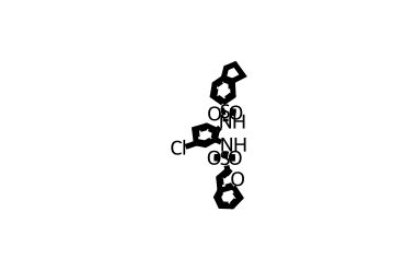 O=S(=O)(Nc1ccc(Cl)cc1NS(=O)(=O)c1cc2ccccc2o1)c1ccc2c(c1)CCC2